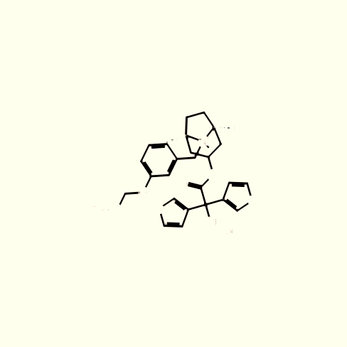 CCOC(=O)COc1cccc(C[N+]2(C)[C@@H]3CC[C@H]2CC(OC(=O)C(O)(c2ccsc2)c2ccsc2)C3)c1.[Br-]